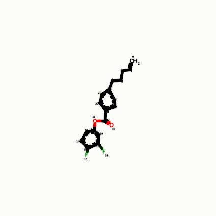 C=CCCCc1ccc(C(=O)Oc2ccc(F)c(F)c2)cc1